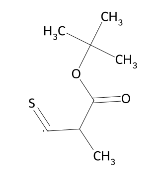 CC([C]=S)C(=O)OC(C)(C)C